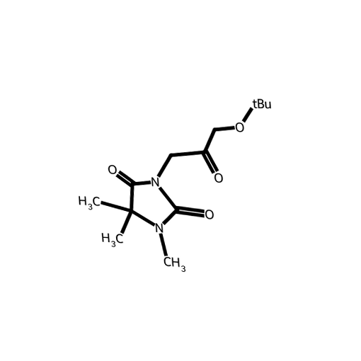 CN1C(=O)N(CC(=O)COC(C)(C)C)C(=O)C1(C)C